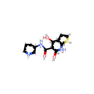 O=C(Nc1cccnc1)c1c(O)c2ccsc2[nH]c1=O